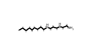 [CH2]CCCCCCCCNCCCNCCN